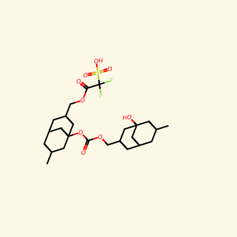 CC1CC2CC(COC(=O)OC34CC(C)CC(CC(COC(=O)C(F)(F)S(=O)(=O)O)C3)C4)CC(O)(C1)C2